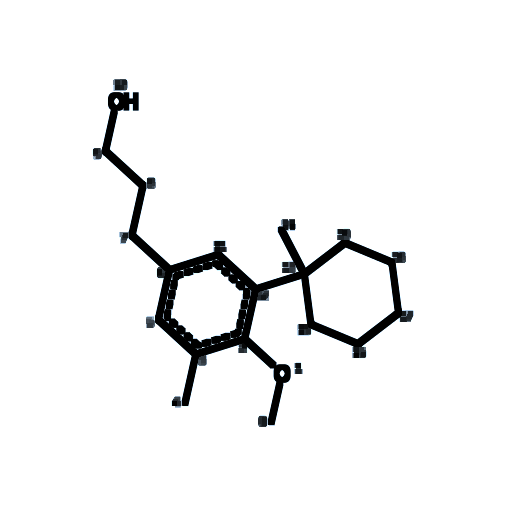 COc1c(C)cc(CCCO)cc1C1(C)CCCCC1